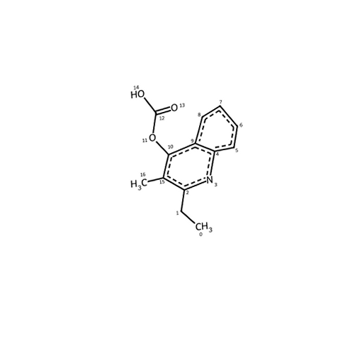 CCc1nc2ccccc2c(OC(=O)O)c1C